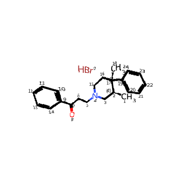 Br.C[C@H]1CN(CCC(=O)c2ccccc2)CC[C@]1(C)c1ccccc1